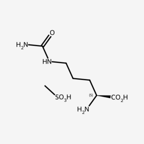 CS(=O)(=O)O.NC(=O)NCCC[C@H](N)C(=O)O